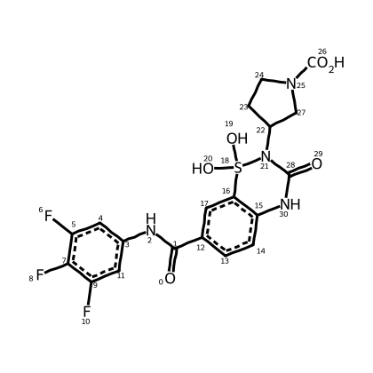 O=C(Nc1cc(F)c(F)c(F)c1)c1ccc2c(c1)S(O)(O)N(C1CCN(C(=O)O)C1)C(=O)N2